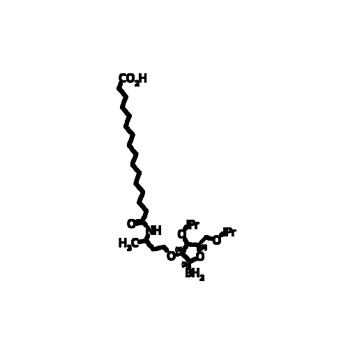 B[C@@H]1O[C@H](COC(C)C)C(OC(C)C)[C@@H]1OCCC(C)NC(=O)CCCCCCCCCCCCCCC(=O)O